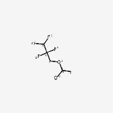 CC(Cl)OCC(F)(F)C(F)F